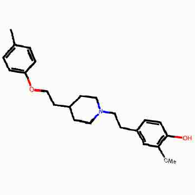 COc1cc(CCN2CCC(CCOc3ccc(C)cc3)CC2)ccc1O